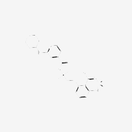 CC(C)(COc1cccc2c1C(N)=NS(=O)(=O)N2)NC(=O)c1ccnc(NC2CCOCC2)c1